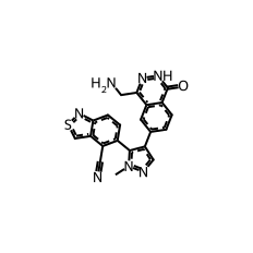 Cn1ncc(-c2ccc3c(=O)[nH]nc(CN)c3c2)c1-c1ccc2nscc2c1C#N